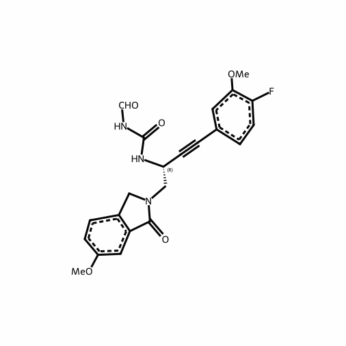 COc1ccc2c(c1)C(=O)N(C[C@@H](C#Cc1ccc(F)c(OC)c1)NC(=O)NC=O)C2